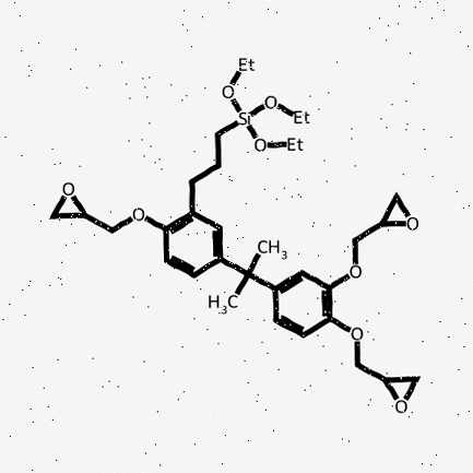 CCO[Si](CCCc1cc(C(C)(C)c2ccc(OCC3CO3)c(OCC3CO3)c2)ccc1OCC1CO1)(OCC)OCC